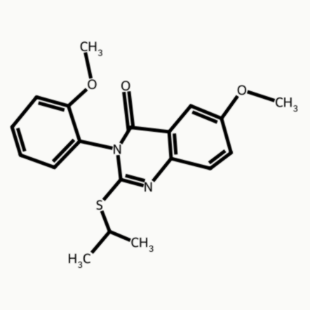 COc1ccc2nc(SC(C)C)n(-c3ccccc3OC)c(=O)c2c1